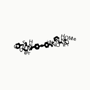 COC(=O)N[C@H](C(=O)N1CCC[C@H]1c1ncc(-c2ccc(C#Cc3ccc(-c4cnc([C@@H]5CSC(C6CCOCC6)N5C(=O)[C@@H](C)C(C)C)[nH]4)cc3)cc2)[nH]1)C(C)C